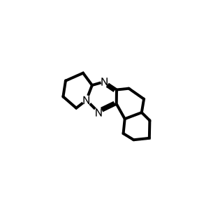 C1CCC2C3=NN4CCCCC4N=C3CCC2C1